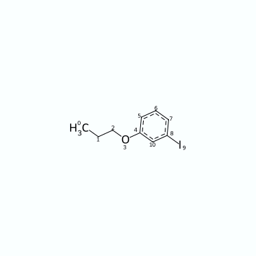 CCCOc1cccc(I)c1